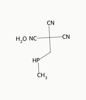 CPCC(C#N)(C#N)C#N.O